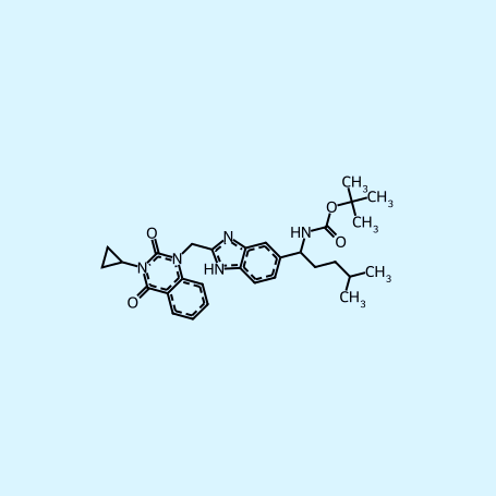 CC(C)CCC(NC(=O)OC(C)(C)C)c1ccc2[nH]c(Cn3c(=O)n(C4CC4)c(=O)c4ccccc43)nc2c1